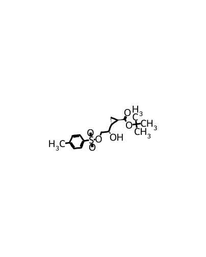 Cc1ccc(S(=O)(=O)OC[C@@H](O)[C@@H]2C[C@H]2C(=O)OC(C)(C)C)cc1